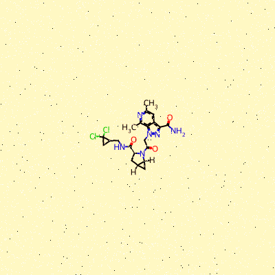 Cc1cc2c(C(N)=O)nn(CC(=O)N3[C@@H]4C[C@@H]4C[C@H]3C(=O)NCC3CC3(Cl)Cl)c2c(C)n1